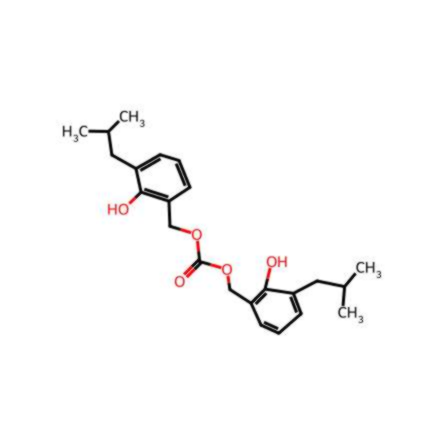 CC(C)Cc1cccc(COC(=O)OCc2cccc(CC(C)C)c2O)c1O